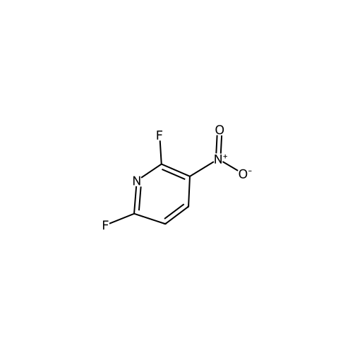 O=[N+]([O-])c1ccc(F)nc1F